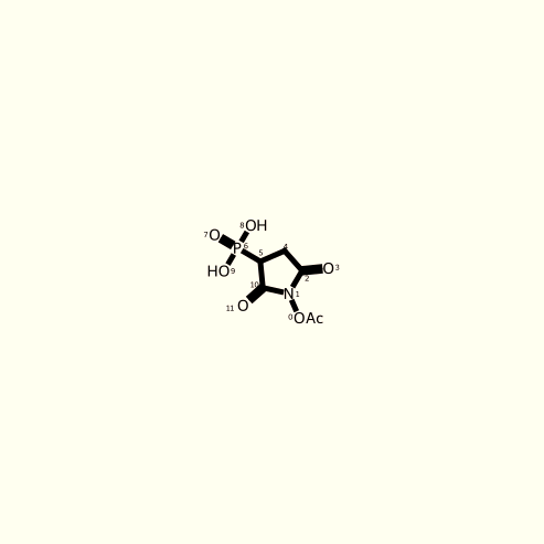 CC(=O)ON1C(=O)CC(P(=O)(O)O)C1=O